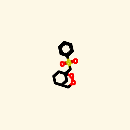 O=S(=O)(CC12CCCC(COO1)C2)c1ccccc1